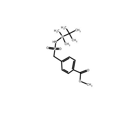 COC(=O)c1ccc(CS(=O)(=O)N[Si](C)(C)C(C)(C)C)cc1